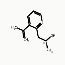 C=C(C)c1cccnc1C[C@H](C)O